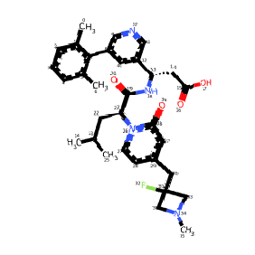 Cc1cccc(C)c1-c1cncc([C@H](CC(=O)O)NC(=O)[C@H](CC(C)C)n2ccc(CC3(F)CN(C)C3)cc2=O)c1